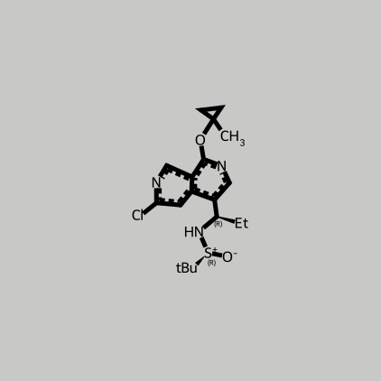 CC[C@@H](N[S@@+]([O-])C(C)(C)C)c1cnc(OC2(C)CC2)c2cnc(Cl)cc12